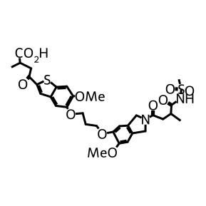 COc1cc2c(cc1OCCCOc1cc3cc(C(=O)CC(C)C(=O)O)sc3cc1OC)CN(C(=O)CC(C)C(=O)NS(C)(=O)=O)C2